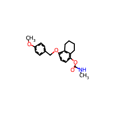 CNC(=O)Oc1ccc(OCc2ccc(OC)cc2)c2c1CCCC2